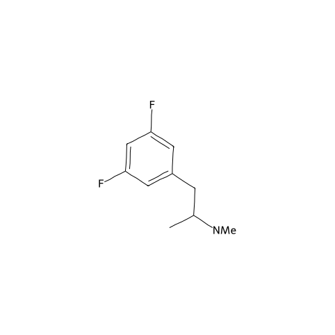 CNC(C)Cc1cc(F)cc(F)c1